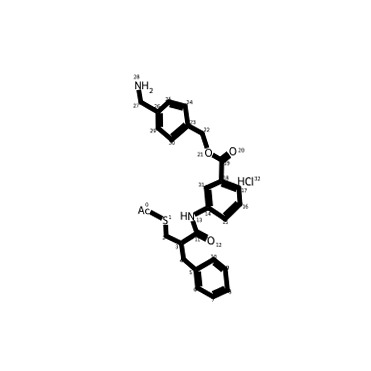 CC(=O)SCC(Cc1ccccc1)C(=O)Nc1cccc(C(=O)OCc2ccc(CN)cc2)c1.Cl